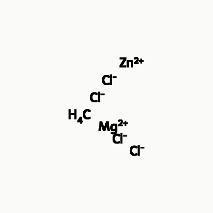 C.[Cl-].[Cl-].[Cl-].[Cl-].[Mg+2].[Zn+2]